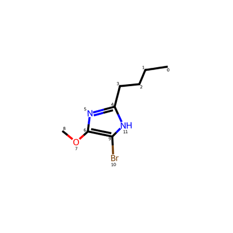 CCCCc1nc(OC)c(Br)[nH]1